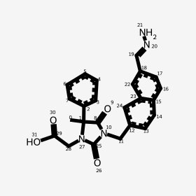 CC1(c2ccccc2)C(=O)N(Cc2ccc3ccc(C=NN)cc3c2)C(=O)N1CC(=O)O